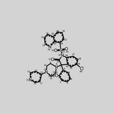 COc1ccccc1C1(N2CCN(c3ccncc3)CC2)C(=O)N(S(=O)(=O)c2cccc3cccnc23)c2ccc(Cl)cc21